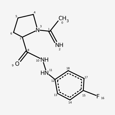 CC(=N)N1CCCC1C(=O)NNc1ccc(F)cc1